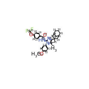 CCC1(c2cn(-c3ccc(OC)cc3)c(NC(=O)c3ccc(OC(F)F)cc3)n2)CC2CCCC(C2)C1